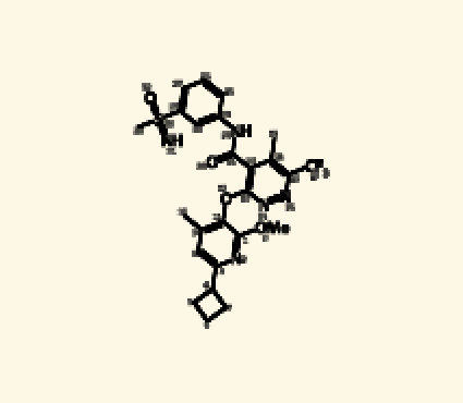 COc1nc(C2CCC2)cc(C)c1Oc1nnc(C(F)(F)F)c(C)c1C(=O)Nc1cccc(S(C)(=N)=O)c1